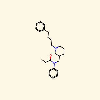 CCC(=O)N(CC1CCCN(CCCCc2ccccc2)C1)c1ccccc1